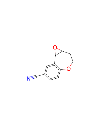 N#Cc1ccc2c(c1)C1OC1CCO2